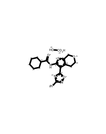 CC(C)c1noc(-c2c(NC(=O)C3CCCCC3)sc3c2CCOC3)n1.O=C(O)O